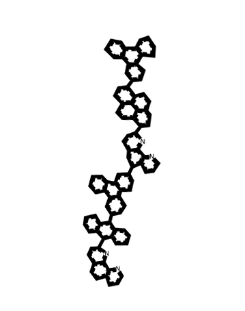 c1cnc2c(c1)ccc1ccc(-c3c4ccccc4c(-c4ccc5c6ccc(-c7cc8ccc(-c9ccc%10ccc%11c(-c%12ccc%13c%14ccccc%14c%14ccccc%14c%13c%12)ccc%12ccc9c%10c%12%11)nc8c8ncccc78)cc6c6ccccc6c5c4)c4ccccc34)nc12